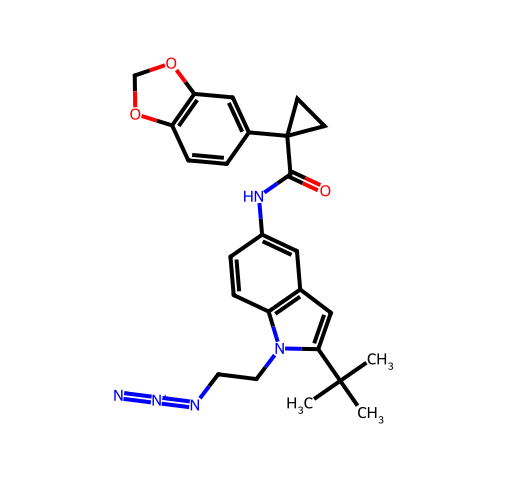 CC(C)(C)c1cc2cc(NC(=O)C3(c4ccc5c(c4)OCO5)CC3)ccc2n1CCN=[N+]=[N-]